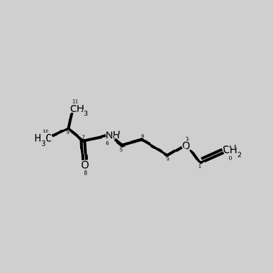 C=COCCCNC(=O)C(C)C